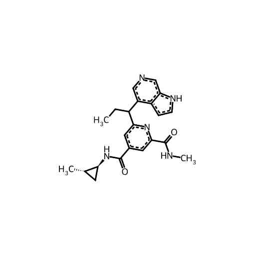 CCC(c1cc(C(=O)N[C@H]2C[C@@H]2C)cc(C(=O)NC)n1)c1cncc2[nH]ccc12